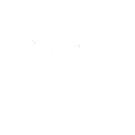 Oc1c(CC2C=CC=CC2)cc(CC2C=CC=CC2)cc1Pc1ccc(F)cc1N1CCCCC1